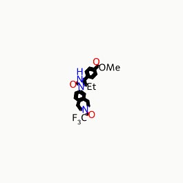 CCc1c(-c2ccc(C(=O)OC)cc2)[nH]c(=O)n1-c1ccc2c(c1)CCN(C(=O)C(F)(F)F)CC2